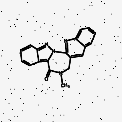 CN1Cc2cc3ccccc3nc2-n2nc3ccccc3c2C1=O